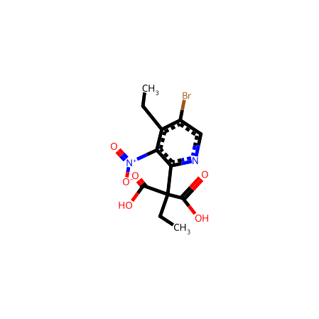 CCc1c(Br)cnc(C(CC)(C(=O)O)C(=O)O)c1[N+](=O)[O-]